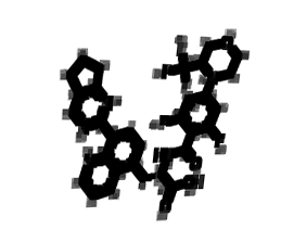 O=C(N[C@@H](Cc1ccc(-c2ncc3c(n2)CCC3)c2ncccc12)C(=O)O)c1c(F)cc(N2CCOCC2C(F)(F)F)cc1F